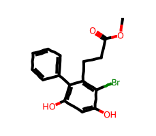 COC(=O)CCc1c(Br)c(O)cc(O)c1-c1ccccc1